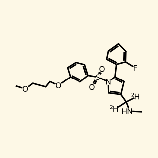 [2H]C([2H])(NC)c1cc(-c2ccccc2F)n(S(=O)(=O)c2cccc(OCCCOC)c2)c1